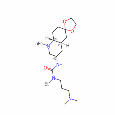 CCCN1C[C@@H](NC(=O)N(CC)CCCN(C)C)C[C@@H]2CC3(CC[C@H]21)OCCO3